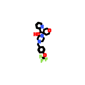 OC(c1ccccn1)C1(N2CCN(Cc3ccc(OC(F)(F)F)cc3)CC2)CCOCC1